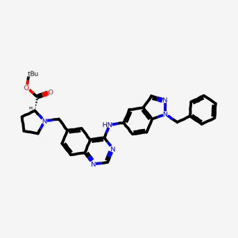 CC(C)(C)OC(=O)[C@H]1CCCN1Cc1ccc2ncnc(Nc3ccc4c(cnn4Cc4ccccc4)c3)c2c1